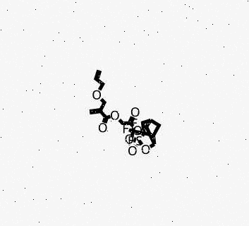 C=CCOCC(=C)C(=O)OCC(=O)OC1C2CC3C1OS(=O)(=O)C3(C(F)(F)F)C2